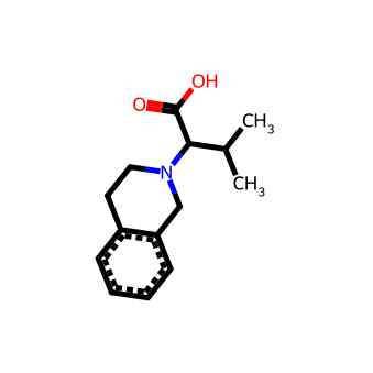 CC(C)C(C(=O)O)N1CCc2ccccc2C1